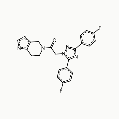 O=C(Cn1nc(-c2ccc(F)cc2)nc1-c1ccc(F)cc1)N1CCc2ncsc2C1